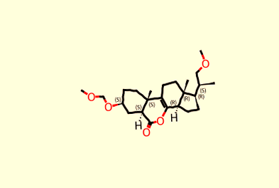 COCO[C@H]1CC[C@]2(C)C3=C(OC(=O)[C@H]2C1)[C@@H]1CC[C@H]([C@H](C)COC)[C@@]1(C)CC3